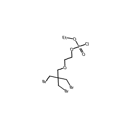 CCOP(=O)(Cl)OCCOCC(CBr)(CBr)CBr